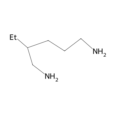 [CH2]CC(CN)CCCN